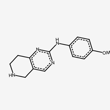 COc1ccc(Nc2ncc3c(n2)CCNC3)cc1